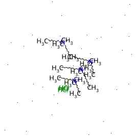 CCCCCCCCCCCC[N+](C)(C)CCCCCCCC.CCCCCCCCCCCC[N+](C)(C)CCCCCCCCCCCC.CCCCCCCCCC[N+](C)(C)CCCCCCCC.CCCCCCCCCC[N+](C)(C)CCCCCCCCCC.Cl.Cl.Cl